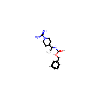 N=C(N)N1CCC(C(NC(=O)OCc2ccccc2)C(=O)O)CC1